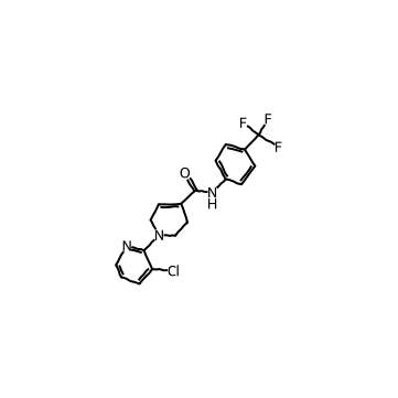 O=C(Nc1ccc(C(F)(F)F)cc1)C1=CCN(c2ncccc2Cl)CC1